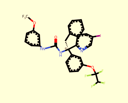 O=C(Nc1cccc(OC(F)(F)F)c1)N[C@](Cc1ccccc1)(c1cccc(OC(F)(F)C(F)F)c1)c1ccc(I)cn1